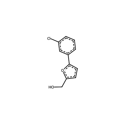 OCc1ccc(-c2cccc(Cl)c2)o1